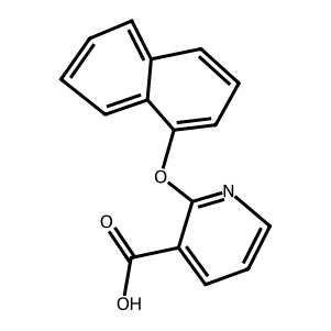 O=C(O)c1cccnc1Oc1cccc2ccccc12